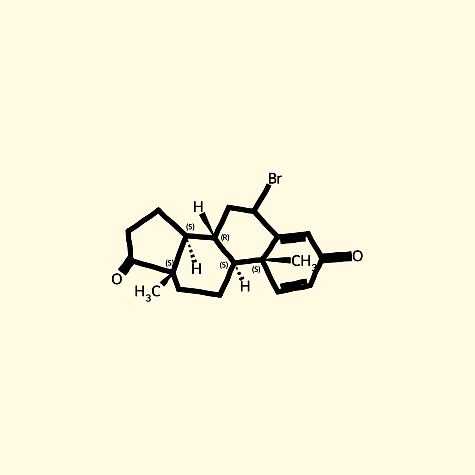 C[C@]12C=CC(=O)C=C1C(Br)C[C@@H]1[C@@H]2CC[C@]2(C)C(=O)CC[C@@H]12